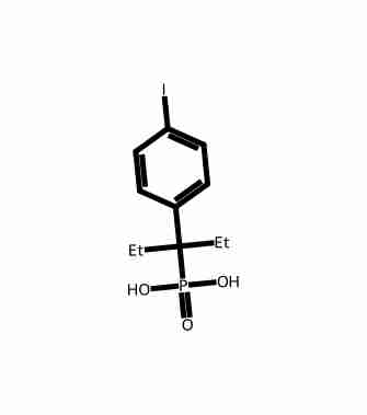 CCC(CC)(c1ccc(I)cc1)P(=O)(O)O